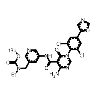 CCN(Cc1cncc(NC(=O)c2c(N)ncn(-c3c(Cl)cc(-c4cnco4)cc3Cl)c2=O)c1)C(=O)OC(C)(C)C